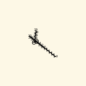 CCCCCCCCCCCCCCCCOC(=O)C(CCCC)CCCCCC